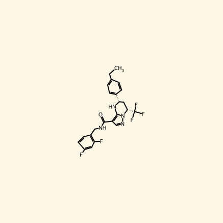 CCc1ccc([C@@H]2C[C@H](C(F)(F)F)n3ncc(C(=O)NCc4ccc(F)cc4F)c3N2)cc1